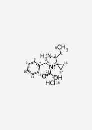 CCC(N)C1(N(Cc2ccccc2)C(=O)O)CC1.Cl